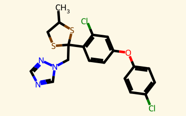 CC1CSC(Cn2cncn2)(c2ccc(Oc3ccc(Cl)cc3)cc2Cl)S1